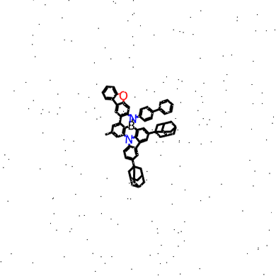 Cc1cc2c3c(c1)-n1c4ccc(C56CC7CC(CC(C7)C5)C6)cc4c4cc(C56CC7CC(CC(C7)C5)C6)cc(c41)B3N(c1ccc(-c3ccccc3)cc1)c1cc3oc4ccccc4c3cc1-2